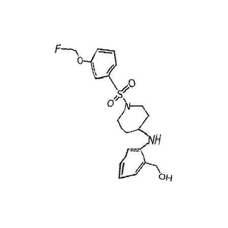 O=S(=O)(c1cccc(OCF)c1)N1CCC(Nc2ccccc2CO)CC1